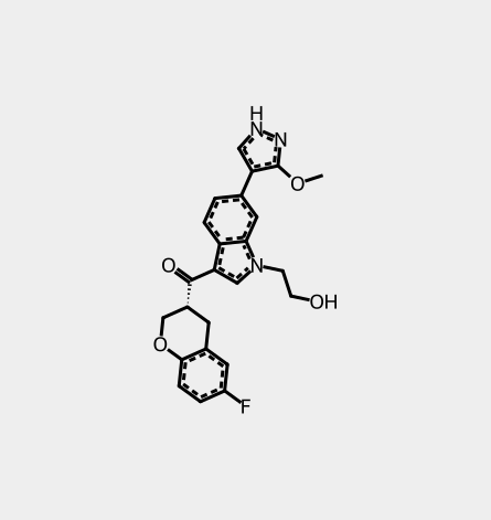 COc1n[nH]cc1-c1ccc2c(C(=O)[C@H]3COc4ccc(F)cc4C3)cn(CCO)c2c1